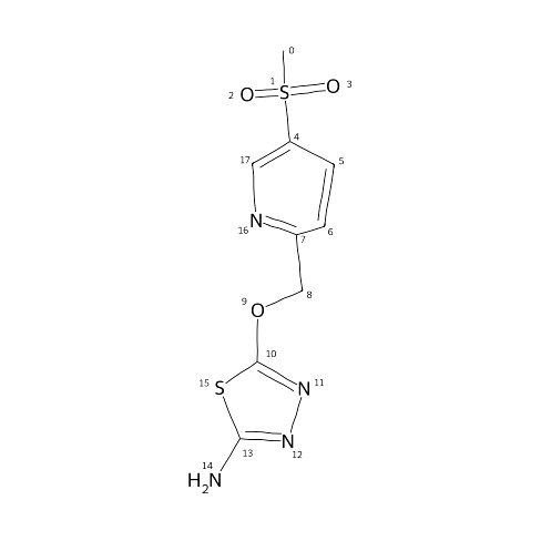 CS(=O)(=O)c1ccc(COc2nnc(N)s2)nc1